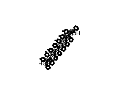 Cc1ccc(B(OB(O)c2ccccc2)OB(OB(OB(OB(OB(OB(OB(OB(OB(OB(OB(OB(OB(O)c2ccccc2)c2ccc(C)cc2)c2ccccc2)c2cccc(C)c2)c2ccccc2)c2ccc(C)cc2)c2ccccc2)c2ccccc2C)c2ccccc2)c2ccc(C)cc2)c2ccccc2)c2ccc(C)cc2)c2ccccc2)cc1